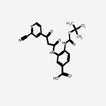 CC(C)(C)OC(=O)Nc1ccc(C(=O)O)cc1NC(=O)CC(=O)c1ccnc(C#N)c1